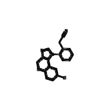 N#CCc1ccccc1-n1cnc2cnc3ccc(Cl)cc3c21